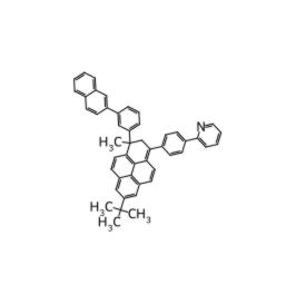 CC(C)(C)c1cc2ccc3c4c(ccc(c1)c24)=C(c1ccc(-c2ccccn2)cc1)CC3(C)c1cccc(-c2ccc3ccccc3c2)c1